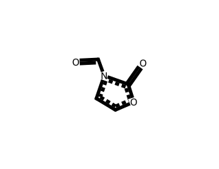 O=Cn1ccoc1=O